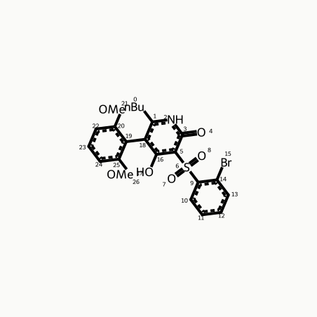 CCCCc1[nH]c(=O)c(S(=O)(=O)c2ccccc2Br)c(O)c1-c1c(OC)cccc1OC